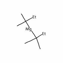 CC[C](C)(C)[Mg][C](C)(C)CC